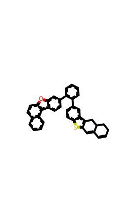 C1=CC2=Cc3sc4ccc(-c5ccccc5-c5ccc6c(c5)oc5ccc7ccccc7c56)cc4c3CC2CC1